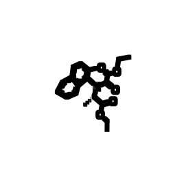 CCOC(=O)C(=O)N(c1c(C)ccc2ccccc12)[C@@H](C)C(=O)OCC